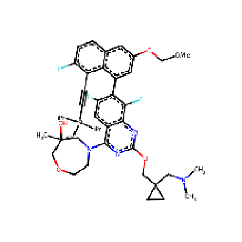 COCOc1cc(-c2c(F)cc3c(N4CCOCC(C)(O)C4)nc(OCC4(CN(C)C)CC4)nc3c2F)c2c(C#C[Si](C(C)C)(C(C)C)C(C)C)c(F)ccc2c1